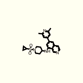 Cc1cc(-c2cc(NC3CCN(S(=O)(=O)C4CC4)CC3)c3cnccc3c2)cc(C)n1